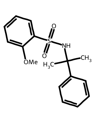 COc1ccccc1S(=O)(=O)NC(C)(C)c1ccccc1